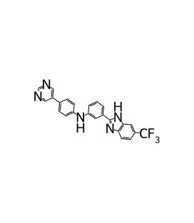 FC(F)(F)c1ccc2nc(-c3cccc(Nc4ccc(-c5cncnc5)cc4)c3)[nH]c2c1